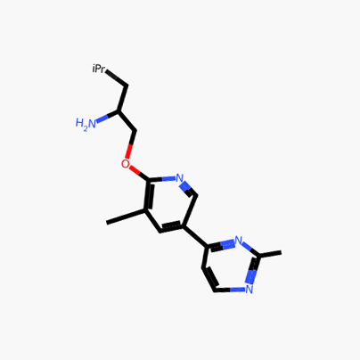 Cc1nccc(-c2cnc(OCC(N)CC(C)C)c(C)c2)n1